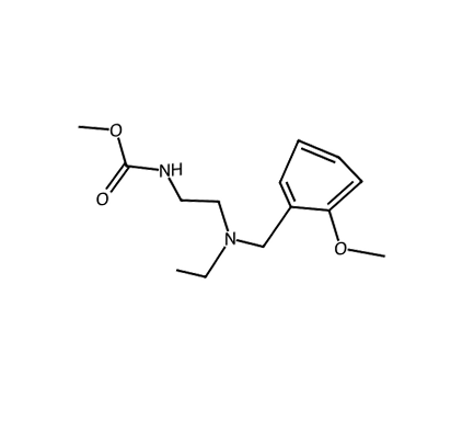 CCN(CCNC(=O)OC)Cc1ccccc1OC